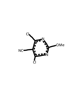 COc1nc(Cl)c(C#N)c(Cl)n1